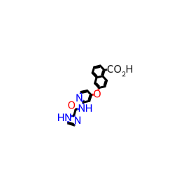 O=C(Nc1cc(Oc2ccc3c(C(=O)O)cccc3c2)ccn1)c1ncc[nH]1